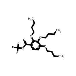 CCCCOc1ccc(C(=O)OC(F)(F)F)c(OCCCC)c1OCCCC